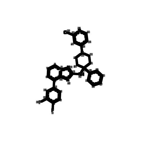 Fc1ccc(-c2cccn3nc(NC4(c5ccccc5)CCN(c5ccnc(Cl)c5)CC4)nc23)cc1F